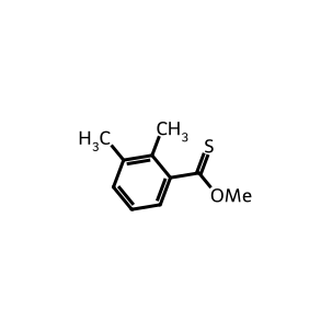 COC(=S)c1cccc(C)c1C